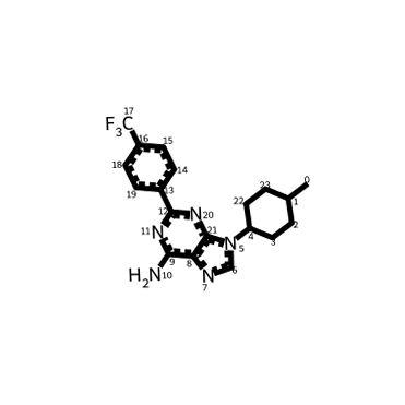 CC1CCC(n2cnc3c(N)nc(-c4ccc(C(F)(F)F)cc4)nc32)CC1